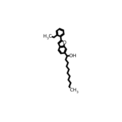 CCCCCCCCCCC(O)c1ccc2cc(-c3ccccc3CC)oc2c1